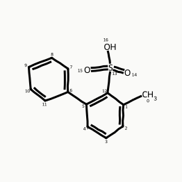 Cc1cc[c]c(-c2ccccc2)c1S(=O)(=O)O